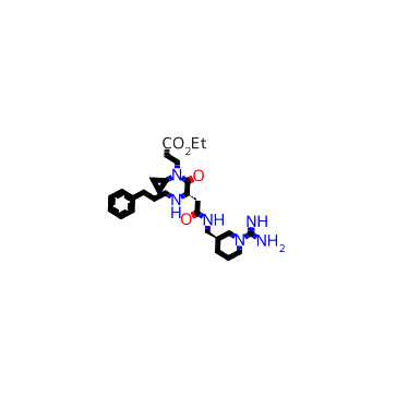 CCOC(=O)CCN(C(=O)[C@H](CC(=O)NC[C@@H]1CCCN(C(=N)N)C1)NCCCc1ccccc1)C1CC1